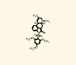 COc1cc(OC)c(S(=O)(=O)n2c(Br)c3c4c(cccc42)[C@H]2C=C(C)CN(C)[C@@H]2C3)c(OC)c1